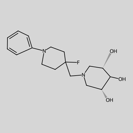 OC1[C@H](O)CN(CC2(F)CCN(c3ccccc3)CC2)C[C@@H]1O